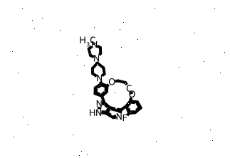 CN1CCN(C2CCN(c3ccc4cc3OCCCOc3cccc(F)c3-c3cc5c-4n[nH]c5cn3)CC2)CC1